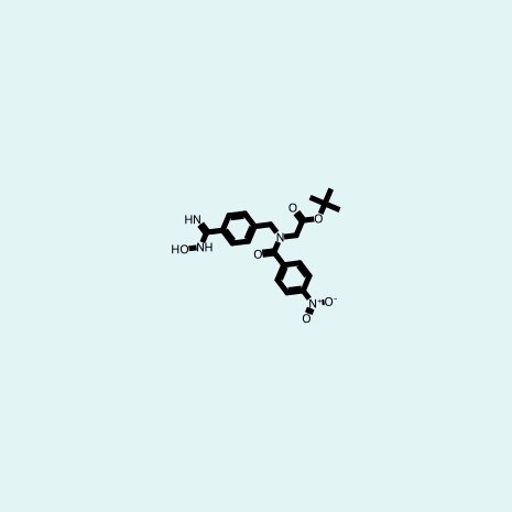 CC(C)(C)OC(=O)CN(Cc1ccc(C(=N)NO)cc1)C(=O)c1ccc([N+](=O)[O-])cc1